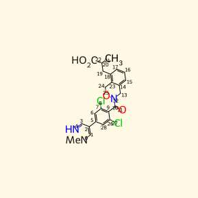 CN/C=C(\C=N)c1cc(Cl)c(C(=O)N2Cc3cccc(C[C@H](C)C(=O)O)c3CO2)c(Cl)c1